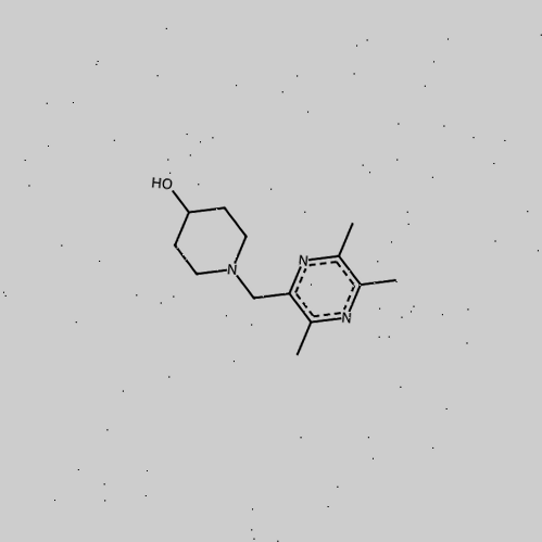 Cc1nc(C)c(CN2CCC(O)CC2)nc1C